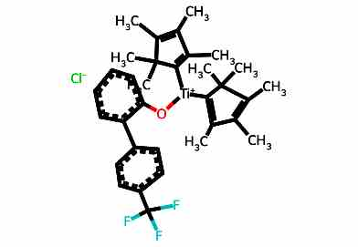 CC1=C(C)C(C)(C)[C]([Ti+]([O]c2ccccc2-c2ccc(C(F)(F)F)cc2)[C]2=C(C)C(C)=C(C)C2(C)C)=C1C.[Cl-]